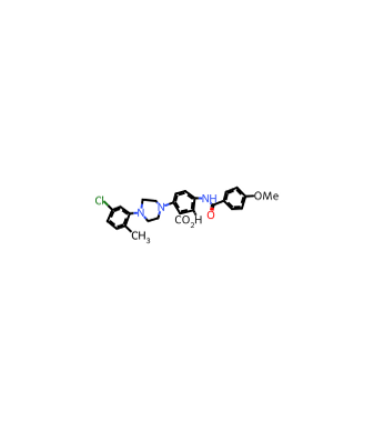 COc1ccc(C(=O)Nc2ccc(N3CCN(c4cc(Cl)ccc4C)CC3)cc2C(=O)O)cc1